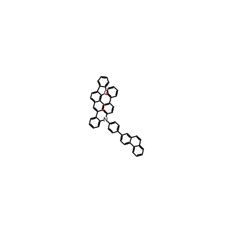 c1ccc(-c2ccc(N(c3ccc(-c4ccc5c(ccc6ccccc65)c4)cc3)c3ccccc3-c3ccc4c(ccc5c6ccccc6oc45)c3)cc2)cc1